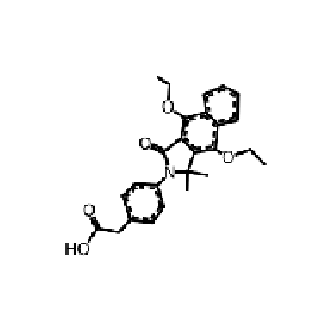 CCOc1c2c(c(OCC)c3ccccc13)C(C)(C)N(c1ccc(CC(=O)O)cc1)C2=O